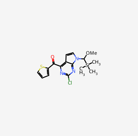 COC(n1ccc2c(C(=O)c3cccs3)nc(Cl)nc21)[Si](C)(C)C